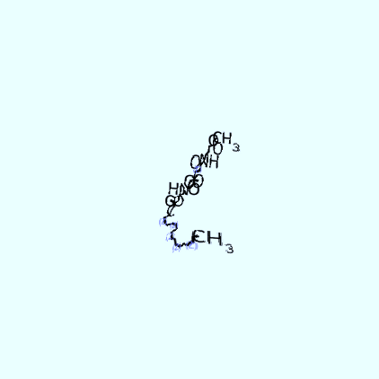 CC/C=C\C/C=C\C/C=C\C/C=C\C/C=C\CCCC(=O)OCCNC(=O)OC(=O)/C=C/C(=O)NCCCC(=O)OC